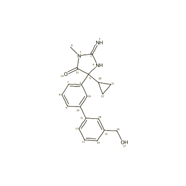 CN1C(=N)NC(c2cccc(-c3cccc(CO)c3)c2)(C2CC2)C1=O